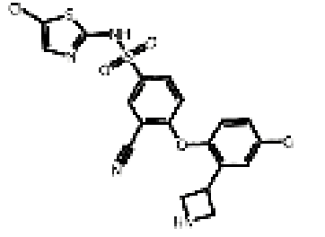 N#Cc1cc(S(=O)(=O)Nc2ncc(Cl)s2)ccc1Oc1ccc(Cl)cc1C1CNC1